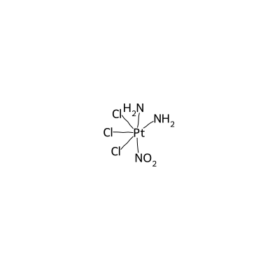 [NH2][Pt]([NH2])([Cl])([Cl])([Cl])[N+](=O)[O-]